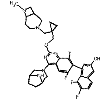 CN1CC2CN(CC3(COc4nc(N5CC6CCC(C5)N6)c5cc(F)c(-c6cc(O)cc7ccc(F)c(F)c67)c(F)c5n4)CC3)CCC21